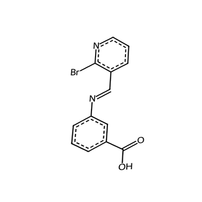 O=C(O)c1cccc(N=Cc2cccnc2Br)c1